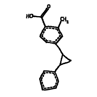 Cc1cc(C2CC2c2ccccc2)ccc1C(=O)O